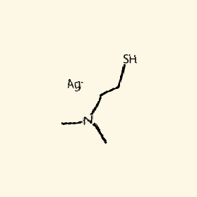 CN(C)CCS.[Ag]